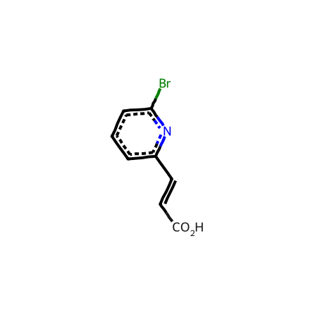 O=C(O)/C=C/c1cccc(Br)n1